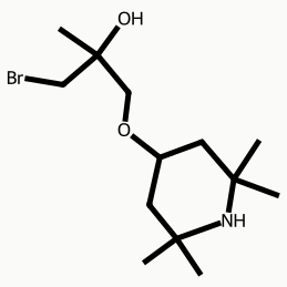 CC(O)(CBr)COC1CC(C)(C)NC(C)(C)C1